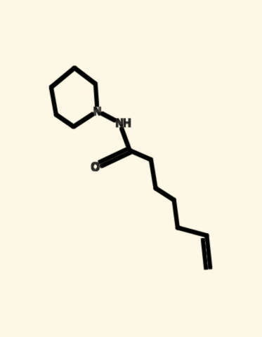 C=CCCCCC(=O)NN1CCCCC1